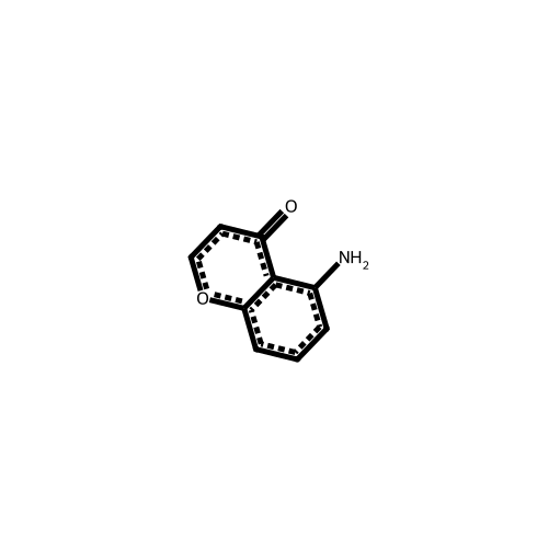 Nc1cccc2occc(=O)c12